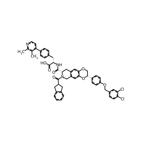 Cc1nccc(-c2ccc(C[C@H](NC(=O)[C@@H]3Cc4cc5c(cc4CN3C(=O)C3Cc4ccccc4C3)O[C@@H](c3ccc(OCc4ccc(Cl)c(Cl)c4)cc3)CO5)C(=O)O)cc2)c1C